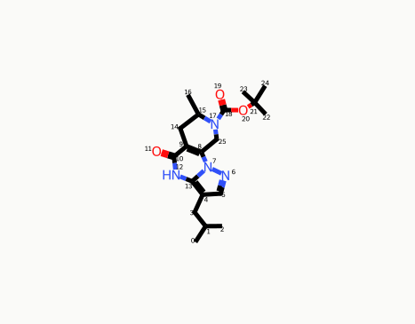 CC(C)Cc1cnn2c3c(c(=O)[nH]c12)CC(C)N(C(=O)OC(C)(C)C)C3